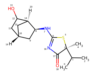 CC(C)[C@]1(C)SC(N[C@H]2C[C@@H]3CC(O)[C@@H]2C3)=NC1=O